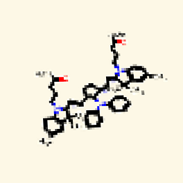 COC(=O)CCCN1/C(=C/C=C2\CCC(/C=C/C3N(CCCC(=O)OC)c4ccc(C)cc4C3(C)C)=C2N(c2ccccc2)c2ccccc2)C(C)(C)c2cc(C)ccc21